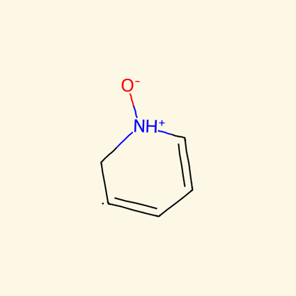 [O-][NH+]1C=CC=[C]C1